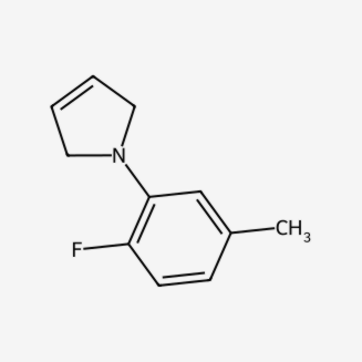 Cc1ccc(F)c(N2CC=CC2)c1